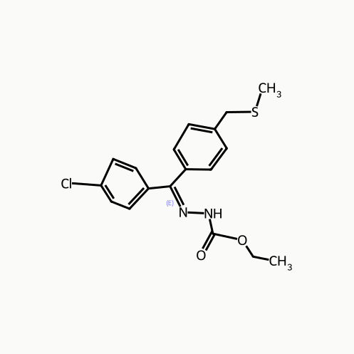 CCOC(=O)N/N=C(/c1ccc(Cl)cc1)c1ccc(CSC)cc1